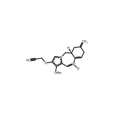 C#CCOc1cn2c(c1OC)C=[N+]([O-])C1=CCC(=C)C[C@H]1C2